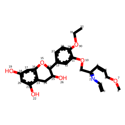 C=C/N=C(\C=C/COC)COc1cc(C2Oc3cc(O)cc(O)c3CC2O)ccc1OCC